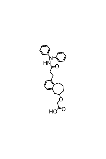 O=C(O)COC1CCCc2c(CCC(=O)NN(c3ccccc3)c3ccccc3)cccc2C1